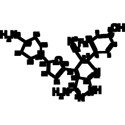 N#Cc1c(-c2ccc(O)cc2F)nc2[nH]nc(N)c2c1-c1ccc(N2CCC(N)CC2)o1